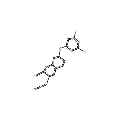 [N-]=[N+]=Nc1cc2ccc(Oc3nc(Cl)nc(Cl)n3)cc2oc1=O